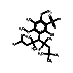 COc1c(C)c(OC)c(S(=O)(=O)O)c(O)c1C(C(C)(C)CC(C)C)C(C)(C)CC(C)(C)C